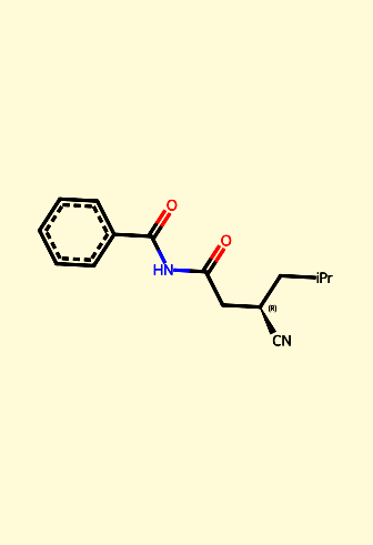 CC(C)C[C@@H](C#N)CC(=O)NC(=O)c1ccccc1